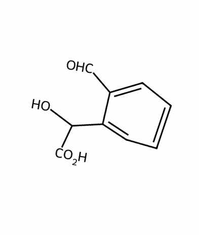 O=Cc1ccccc1C(O)C(=O)O